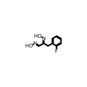 ON=CC(Cc1ccccc1F)=NO